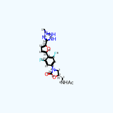 CC(=O)NC[C@H]1CN(c2cc(F)c(-c3ccc(C4=NN(C)NN4)o3)c(F)c2)C(=O)O1